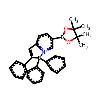 CC1(C)OB(c2ccc3[n+](c2)[B-](c2ccccc2)(c2ccccc2)C(c2ccccc2)=C3)OC1(C)C